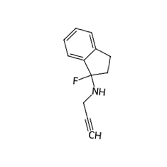 C#CCNC1(F)CCc2ccccc21